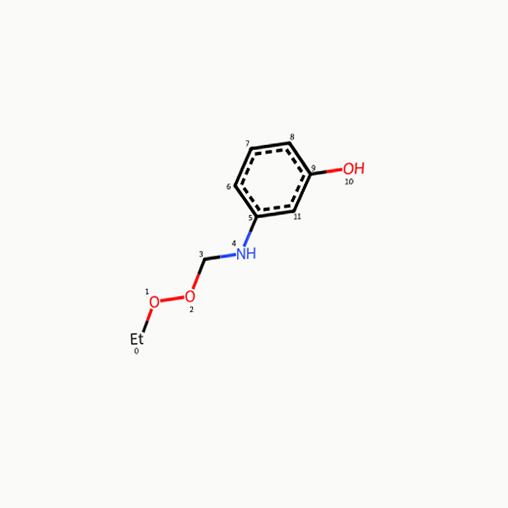 CCOOCNc1cccc(O)c1